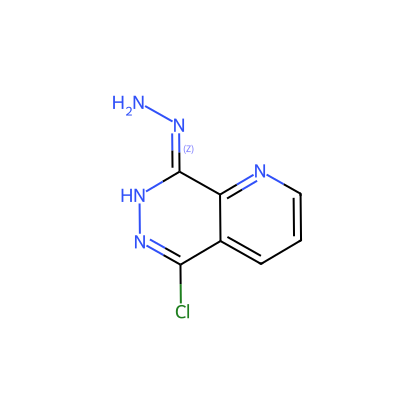 N/N=c1\[nH]nc(Cl)c2cccnc12